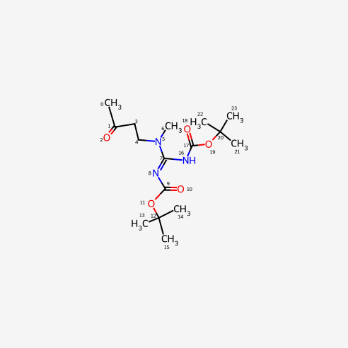 CC(=O)CCN(C)/C(=N/C(=O)OC(C)(C)C)NC(=O)OC(C)(C)C